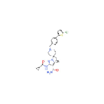 N#CCC1(n2cc(C(N)=O)c(NC(=O)C3CC3)n2)CCN(Cc2ccc(-c3ccc(Cl)s3)cc2)CC1